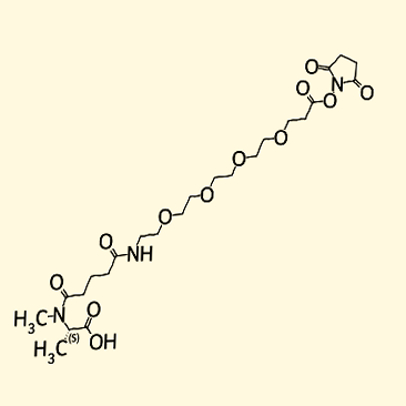 C[C@@H](C(=O)O)N(C)C(=O)CCCC(=O)NCCOCCOCCOCCOCCC(=O)ON1C(=O)CCC1=O